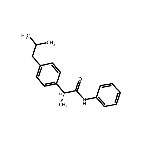 CC(C)Cc1ccc([C@@H](C)C(=O)Nc2ccccc2)cc1